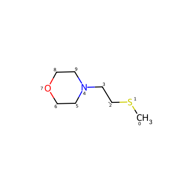 CS[CH]CN1CCOCC1